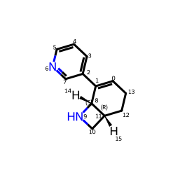 C1=C(c2cccnc2)[C@H]2NC[C@H]2CC1